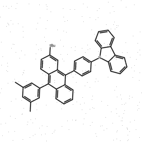 Cc1cc(C)cc(-c2c3ccccc3c(-c3ccc(-n4c5ccccc5c5ccccc54)cc3)c3cc(C(C)(C)C)ccc23)c1